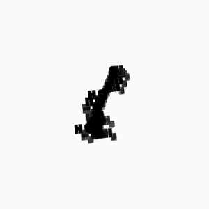 CCCCNc1nc(N)nc(C)c1Cc1ccc(C(=O)NCCNC(=O)CC/C(C)=C/CC/C(C)=C/CC/C(C)=C/CC/C=C(\C)CC/C=C(\C)CCC=C(C)C)cc1OC